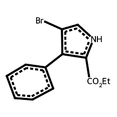 CCOC(=O)c1[nH]cc(Br)c1-c1ccccc1